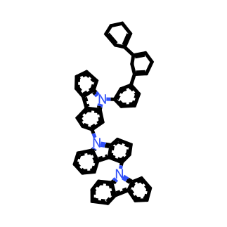 C1=CC(C2=CCC=C(c3cccc(-n4c5ccccc5c5ccc(-n6c7ccccc7c7c(-n8c9ccccc9c9ccccc98)cccc76)cc54)c3)C2)=CCC1